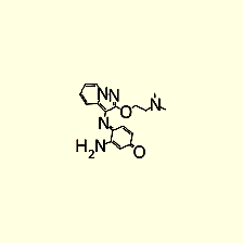 CN(C)CCOc1nn2ccccc2c1/N=C1\C=CC(=O)C=C1N